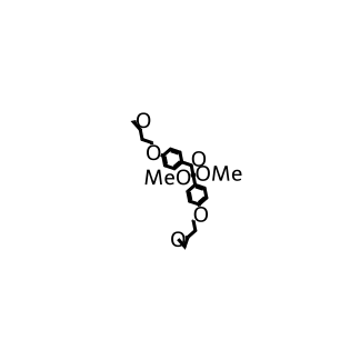 COC(OC)(C(=O)c1ccc(OCCC2CO2)cc1)c1ccc(OCCC2CO2)cc1